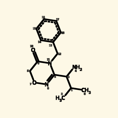 CC(C)C(N)C1=NOCC(=O)N1Cc1ccccc1